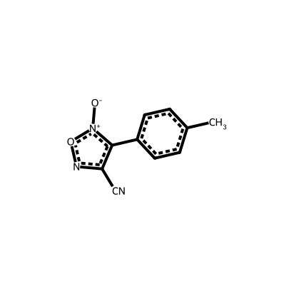 Cc1ccc(-c2c(C#N)no[n+]2[O-])cc1